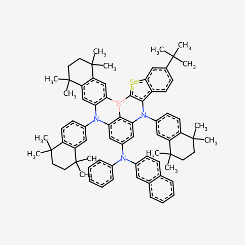 CC(C)(C)c1ccc2c3c(sc2c1)B1c2cc4c(cc2N(c2ccc5c(c2)C(C)(C)CCC5(C)C)c2cc(N(c5ccccc5)c5ccc6ccccc6c5)cc(c21)N3c1ccc2c(c1)C(C)(C)CCC2(C)C)C(C)(C)CCC4(C)C